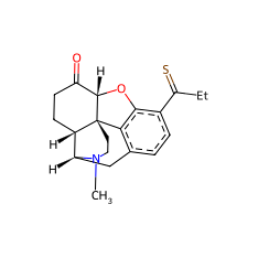 CCC(=S)c1ccc2c3c1O[C@H]1C(=O)CC[C@H]4[C@@H](C2)N(C)CC[C@]314